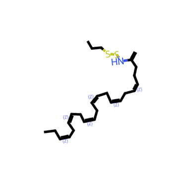 C=C(CC/C=C\C/C=C\C/C=C\C/C=C\C/C=C\C/C=C\CC)NSSCCC